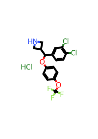 Cl.FC(F)(F)Oc1ccc(OC(c2ccc(Cl)c(Cl)c2)C2CNC2)cc1